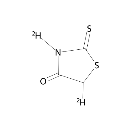 [2H]C1SC(=S)N([2H])C1=O